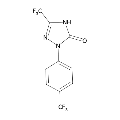 O=c1[nH]c(C(F)(F)F)nn1-c1ccc(C(F)(F)F)cc1